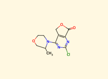 CC1COCCN1c1nc(Cl)nc2c1COC2=O